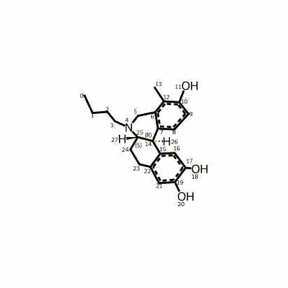 CCCCN1Cc2c(ccc(O)c2C)[C@H]2c3cc(O)c(O)cc3CC[C@@H]21